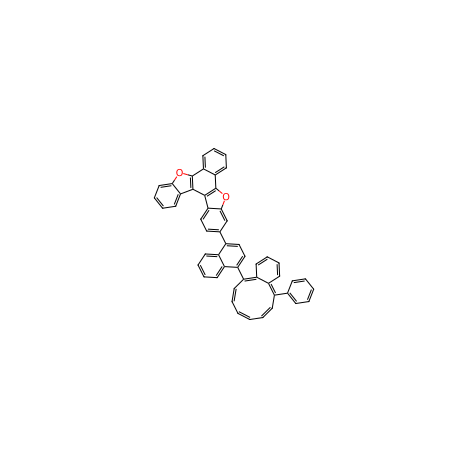 c1ccc(-c2ccccccc(-c3ccc(-c4ccc5c(c4)oc4c6ccccc6c6oc7ccccc7c6c54)c4ccccc34)c3ccccc23)cc1